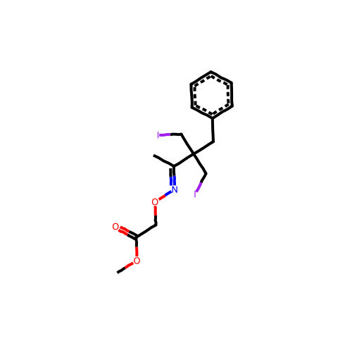 COC(=O)CON=C(C)C(CI)(CI)Cc1ccccc1